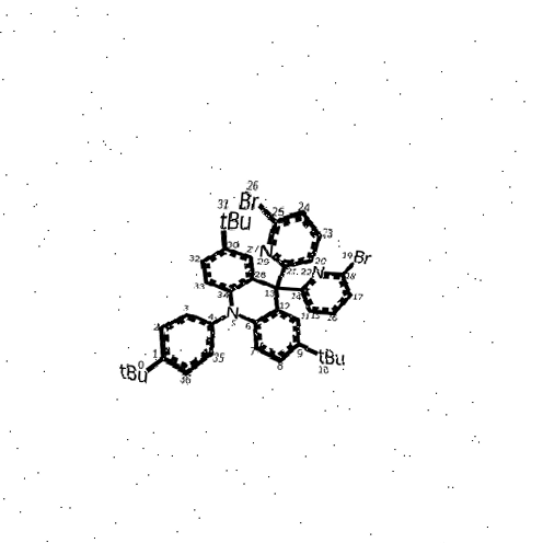 CC(C)(C)c1ccc(N2c3ccc(C(C)(C)C)cc3C(c3cccc(Br)n3)(c3cccc(Br)n3)c3cc(C(C)(C)C)ccc32)cc1